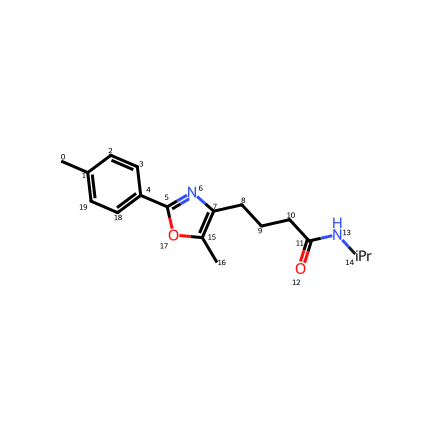 Cc1ccc(-c2nc(CCCC(=O)NC(C)C)c(C)o2)cc1